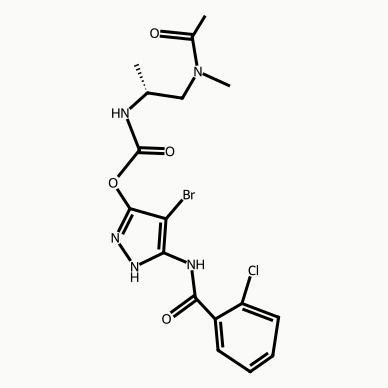 CC(=O)N(C)C[C@@H](C)NC(=O)Oc1n[nH]c(NC(=O)c2ccccc2Cl)c1Br